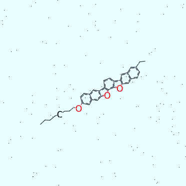 CCCCCCCCOc1ccc2cc3c(cc2c1)oc1c3ccc2c3cc4cc(CC)ccc4cc3oc21